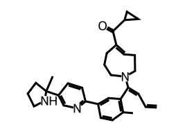 C=C/C=C(\c1cc(-c2ccc(C3(C)CCCN3)cn2)ccc1C)N1CC/C=C(\C(=O)C2CC2)CCC1